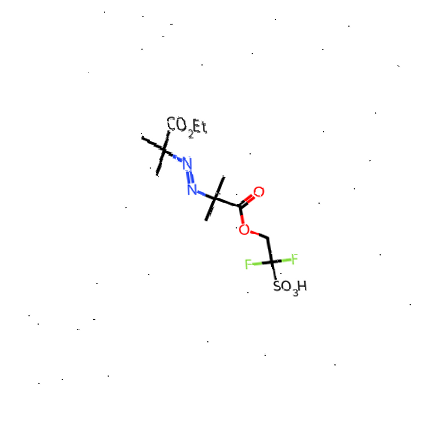 CCOC(=O)C(C)(C)N=NC(C)(C)C(=O)OCC(F)(F)S(=O)(=O)O